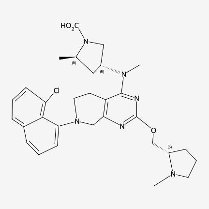 C[C@@H]1C[C@@H](N(C)c2nc(OC[C@@H]3CCCN3C)nc3c2CCN(c2cccc4cccc(Cl)c24)C3)CN1C(=O)O